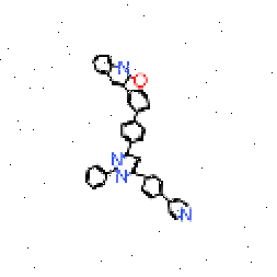 c1ccc(-c2nc(-c3ccc(-c4ccncc4)cc3)cc(-c3ccc(-c4ccc5oc6nc7ccccc7cc6c5c4)cc3)n2)cc1